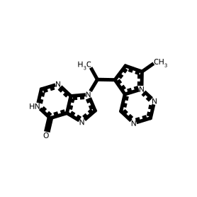 Cc1cc(C(C)n2cnc3c(=O)[nH]cnc32)c2cncnn12